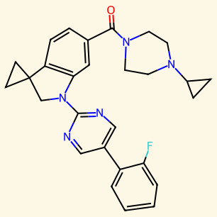 O=C(c1ccc2c(c1)N(c1ncc(-c3ccccc3F)cn1)CC21CC1)N1CCN(C2CC2)CC1